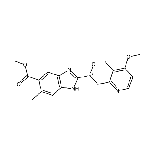 COC(=O)c1cc2nc([S+]([O-])Cc3nccc(OC)c3C)[nH]c2cc1C